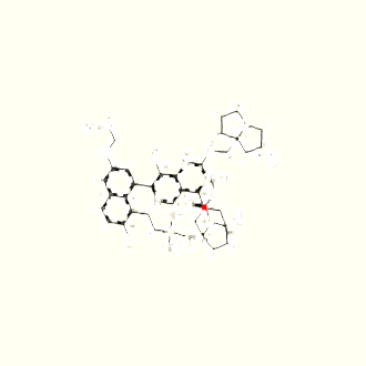 COCOc1cc(-c2ncc3c(N4C[C@H]5CC[C@@H](C4)N5C(=O)OC(C)(C)C)nc(OC[C@@]45CCCN4C[C@H](F)C5)nc3c2F)c2c(CC[Si](C(C)C)(C(C)C)C(C)C)c(F)ccc2c1